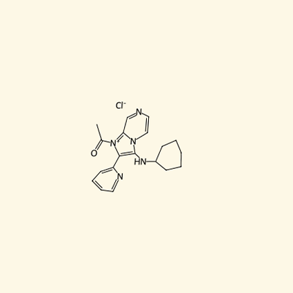 CC(=O)[n+]1c(-c2ccccn2)c(NC2CCCCC2)n2ccncc21.[Cl-]